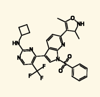 CC1=C(c2ccc3c(-c4nc(NC5CCC5)ncc4C(F)(F)F)cn(S(=O)(=O)c4ccccc4)c3n2)C(C)NO1